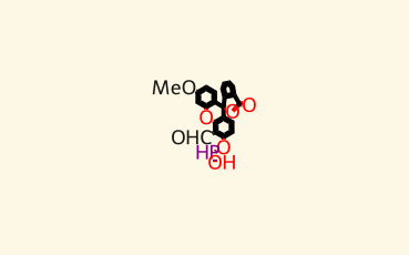 COc1ccc2c(c1)Oc1c(ccc(OPO)c1C=O)C21OC(=O)c2ccccc21